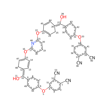 N#Cc1ccc(Oc2ccc(C(O)=C3C=CC(Oc4cccc(OC5=CCC(=C(O)c6ccc(Oc7ccc(C#N)c(C#N)c7)cc6)C=C5)n4)=CC3)cc2)cc1C#N